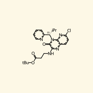 CC(C)[C@@H](c1ccccn1)n1c(=O)c(NCCC(=O)OC(C)(C)C)nc2ccc(Cl)nc21